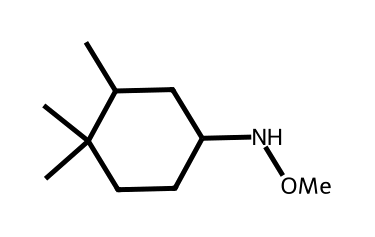 CONC1CCC(C)(C)C(C)C1